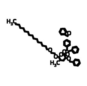 CCCCCCCCCCCCCCCCOCCOC1OC(OCc2ccccc2)(OCc2ccccc2)C(OCc2ccccc2)CC1C.c1ccc2c(c1)CO2